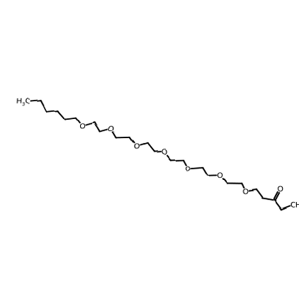 CCCCCCOCCOCCOCCOCCOCCOCCOCCC(=O)CC